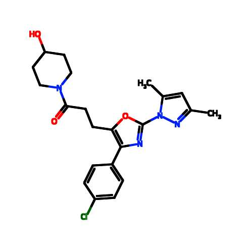 Cc1cc(C)n(-c2nc(-c3ccc(Cl)cc3)c(CCC(=O)N3CCC(O)CC3)o2)n1